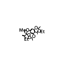 C=C(C)C(=O)Oc1c(OC)cc(OC(C)OCC)c(I)c1OC(C)OCC